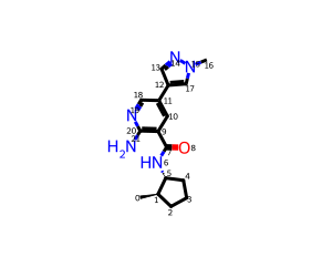 C[C@@H]1CCC[C@H]1NC(=O)c1cc(-c2cnn(C)c2)cnc1N